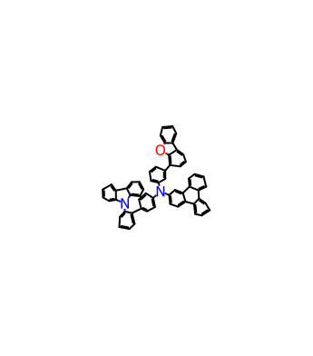 c1cc(-c2cccc3c2oc2ccccc23)cc(N(c2ccc(-c3ccccc3-n3c4ccccc4c4ccccc43)cc2)c2ccc3c4ccccc4c4ccccc4c3c2)c1